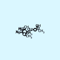 C=C[C@]1(C)C[C@@H](OC(=O)COc2ccc3c(c2)B(O)OC3C)[C@@]2(C)C[C@](CCC(C)=O)(CC[C@H]2C)[C@@H](C)[C@@H]1O